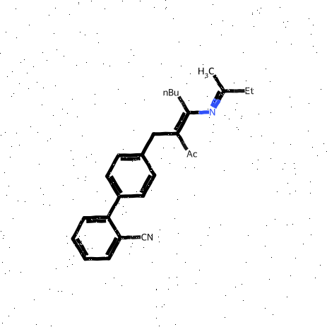 CCCCC(/N=C(\C)CC)=C(\Cc1ccc(-c2ccccc2C#N)cc1)C(C)=O